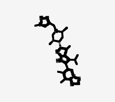 Cc1c(-c2[nH]c3sc([C@H]4C[C@H](C)N(Cc5cn(C)nn5)C[C@@H]4C)c(C)c3c2C(C)C)cn2ncnc2c1C